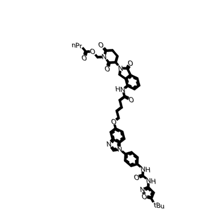 CCCC(=O)OCN1C(=O)CCC(N2Cc3c(NC(=O)CCCCOc4ccc5c(c4)ncn5-c4ccc(NC(=O)Nc5cc(C(C)(C)C)on5)cc4)cccc3C2=O)C1=O